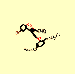 CCOC(=O)Cc1ccc(OC)cc1OCc1c(C=O)oc2ccc(Br)cc12